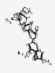 Cc1cn2nc(-c3cc(=O)n4nc(N5C[C@@H](C)N[C@@H](C)C5)sc4n3)cc(C)c2n1